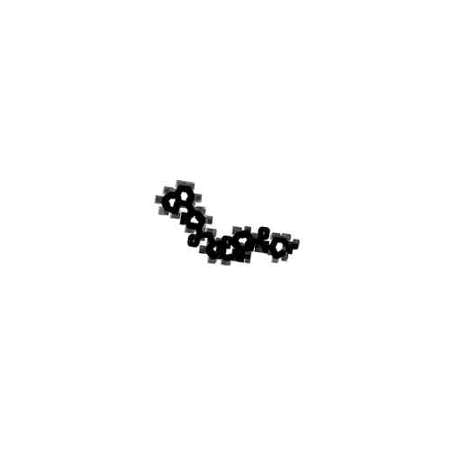 CN1CCC(NC(=O)c2ccc3c(c2)NCN2C=CC(CC(=O)c4ccc(-c5cccc6ccccc56)nc4)C2C3)CC1